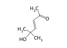 CC(=O)C=CC(C)(C)O